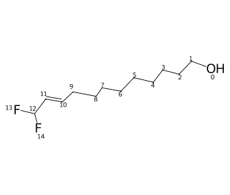 OCCCCCCCCC/C=C/C(F)F